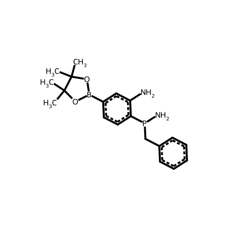 CC1(C)OB(c2ccc(P(N)Cc3ccccc3)c(N)c2)OC1(C)C